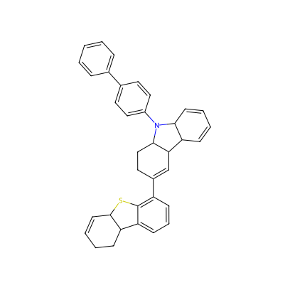 C1=CC2C3C=C(c4cccc5c4SC4C=CCCC54)CCC3N(c3ccc(-c4ccccc4)cc3)C2C=C1